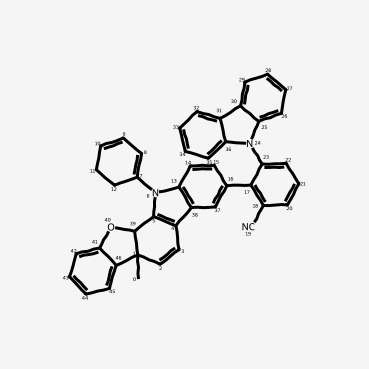 CC12C=Cc3c(n(C4=CC=CCC4)c4ccc(-c5c(C#N)cccc5-n5c6ccccc6c6ccccc65)cc34)C1Oc1ccccc12